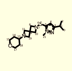 CC(C)c1cc(SN2CC3(C2)CN(C2CCOCC2)C3)n(C)n1